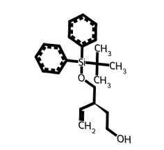 C=C[C@H](CCO)CO[Si](c1ccccc1)(c1ccccc1)C(C)(C)C